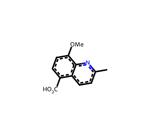 COc1ccc(C(=O)O)c2ccc(C)nc12